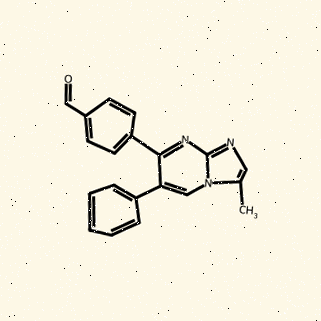 Cc1cnc2nc(-c3ccc(C=O)cc3)c(-c3ccccc3)cn12